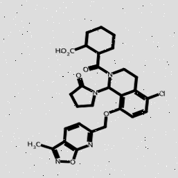 Cc1noc2nc(COc3ccc(Cl)c4c3C(N3CCCC3=O)N(C(=O)C3CCCCC3C(=O)O)CC4)ccc12